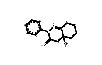 CC12CCCCC1=NN(c1ccccc1)C(=O)C2